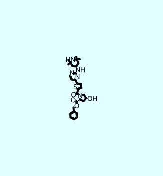 CC1(C)CC(Nc2nccc(-c3ccc(C(=O)N4C[C@H](O)C[C@H]4C(=O)OCc4ccccc4)s3)n2)CC(C)(C)N1